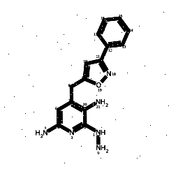 NNc1nc(N)cc(Cc2cc(-c3ccccc3)no2)c1N